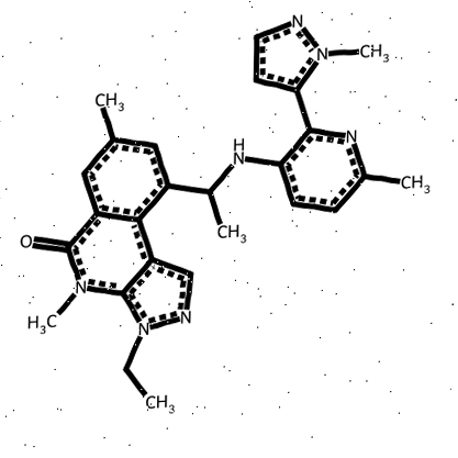 CCn1ncc2c3c(C(C)Nc4ccc(C)nc4-c4ccnn4C)cc(C)cc3c(=O)n(C)c21